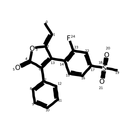 CC=C1OC(=O)C(c2ccccc2)=C1c1ccc(S(C)(=O)=O)cc1F